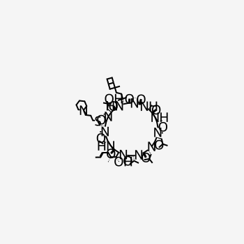 C/C=C/C[C@@H](C)[C@@H](O)[C@H]1C(=O)N[C@H](CC)C(=O)N(C)[C@H](CSCCCN2CCCCC2)C(=O)N(C)[C@@H](CC(C)(C)O)C(=O)N[C@H](C(C)(C)CCC2(C)CC3CCC32)C(=O)N(C)C(=O)N[C@@H](C)C(=O)N[C@H](C)C(=O)N(C)[C@@H](CC(C)C)C(=O)N(C)[C@H](CC(C)C)C(=O)N(C)[C@H](C(C)C)C(=O)N1C